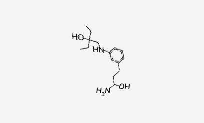 CCC(O)(CC)CNc1cccc(CCC(N)O)c1